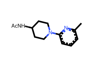 CC(=O)NC1CCN(c2cccc(C)n2)CC1